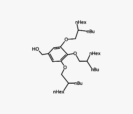 CCCCCCC(CCCC)COc1cc(CO)cc(OCC(CCCC)CCCCCC)c1OCC(CCCC)CCCCCC